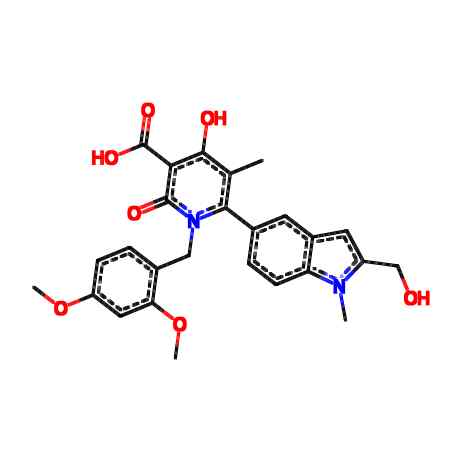 COc1ccc(Cn2c(-c3ccc4c(c3)cc(CO)n4C)c(C)c(O)c(C(=O)O)c2=O)c(OC)c1